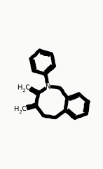 C=C1CCc2ccccc2CN(c2ccccc2)C1=C